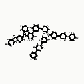 C1=CC(N(c2ccc(-c3ccc(-c4ccccc4)cc3)cc2)c2ccc(-c3ccc(-c4ccccc4)cc3)cc2)=CC(c2cccc(-c3cccc4c3c3ccccc3n4-c3ccc4c(c3)sc3ccccc34)c2)C1